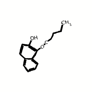 CCCCCOc1c(O)ccc2ccccc12